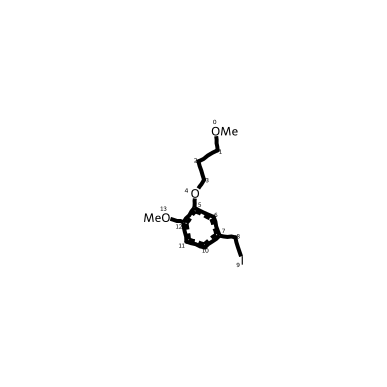 COCCCOc1cc(CI)ccc1OC